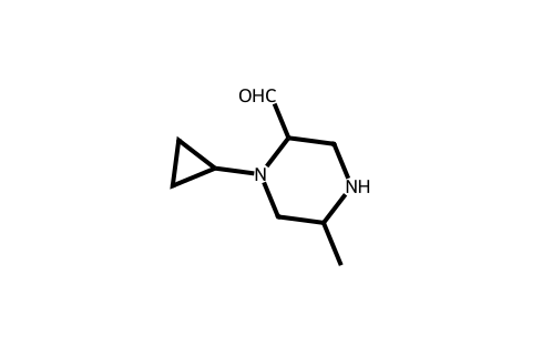 CC1CN(C2CC2)C(C=O)CN1